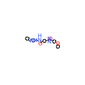 O=C(NCCN1CCN(Cc2ccccc2)CC1)c1ccc(-c2noc(-c3ccc(Oc4ccccc4)cc3)n2)cc1